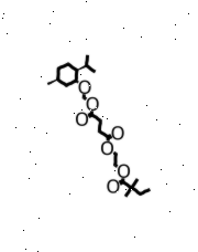 CCC(C)(C)C(=O)OCCOC(=O)CCC(=O)OCO[C@H]1C[C@@H](C)CC[C@H]1C(C)C